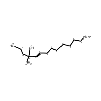 CCCCCCCCCCCCCCCCC=CC(N)(O)CCO